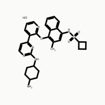 Cc1cc(NS(=O)(=O)C2CCC2)c2ccccc2c1Oc1ncccc1-c1ccnc(NC2CCC(N)CC2)n1.Cl